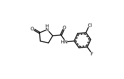 O=C1CCC(C(=O)Nc2cc(F)cc(Cl)c2)N1